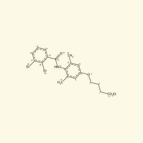 CCOC(=O)CCCOc1cc(C)c(NC(=O)c2cccc(CC)c2CC)c(C)c1